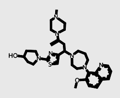 C=C(CC(c1csc(N2CCC(O)CC2)n1)N1CCCN(c2c(OC)ccc3cccnc23)CC1)N1CCN(C)CC1